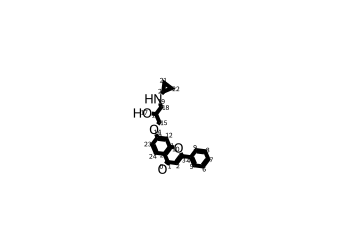 O=c1cc(-c2ccccc2)oc2cc(OCC(O)CNC3CC3)ccc12